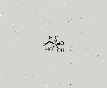 CS(=O)(O)(O)CF